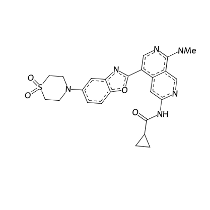 CNc1ncc(-c2nc3cc(N4CCS(=O)(=O)CC4)ccc3o2)c2cc(NC(=O)C3CC3)ncc12